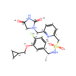 C[C@@H](NS(=O)(=O)Cc1cccc(CN2CC(=O)NC2=O)n1)c1ccc(F)c(OCC2CC2)c1